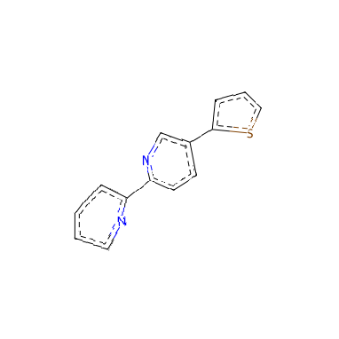 c1ccc(-c2ccc(-c3cccs3)cn2)nc1